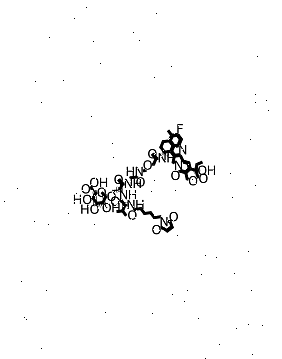 CC[C@]1(O)C(=O)OCc2c1cc1n(c2=O)Cc2c-1nc1cc(F)c(C)c3c1c2[C@H](NC(=O)COCNC(=O)CNC(=O)[C@H](CO[C@@H]1O[C@H](C(=O)O)[C@@H](O)[C@H](O)[C@H]1O)NC(=O)[C@@H](NC(=O)CCCCCN1C(=O)C=CC1=O)C(C)C)CC3